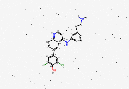 CN(C)CCc1cccc(Nc2ccnc3ccc(-c4cc(F)c(O)c(Cl)c4)cc23)c1